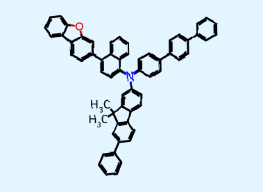 CC1(C)c2cc(-c3ccccc3)ccc2-c2ccc(N(c3ccc(-c4ccc(-c5ccccc5)cc4)cc3)c3ccc(-c4ccc5c(c4)oc4ccccc45)c4ccccc34)cc21